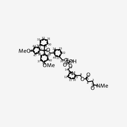 CNC(=O)CCC(=O)OCc1cccc(COP(=O)(O)OCc2cccc(COC(c3ccccc3)(c3ccc(OC)cc3)c3ccc(OC)cc3)c2)n1